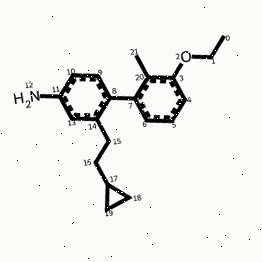 CCOc1cccc(-c2ccc(N)cc2CCC2CC2)c1C